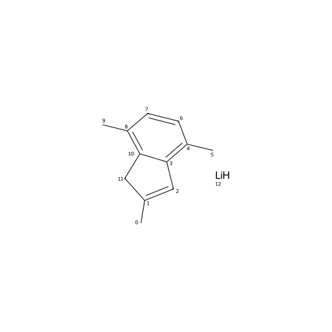 CC1=Cc2c(C)ccc(C)c2C1.[LiH]